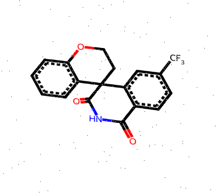 O=C1NC(=O)C2(CCOc3ccccc32)c2cc(C(F)(F)F)ccc21